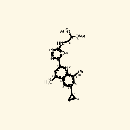 COC(CNc1nnc(-c2cc(C)c3cc(C4CC4)cc(C(C)(C)C)c3n2)o1)OC